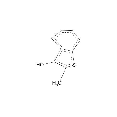 Cc1sc2ccccc2c1O